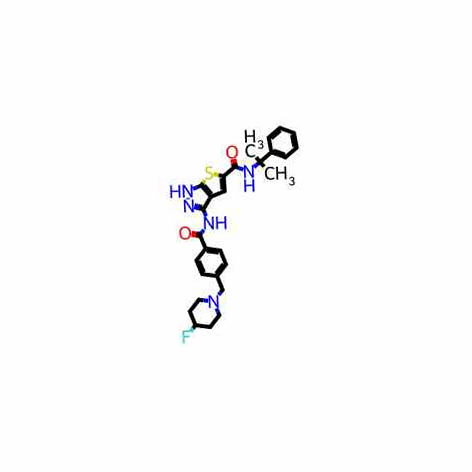 CC(C)(NC(=O)c1cc2c(NC(=O)c3ccc(CN4CCC(F)CC4)cc3)n[nH]c2s1)c1ccccc1